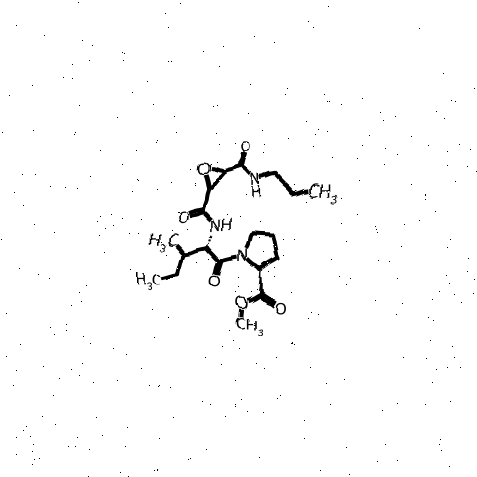 CCCNC(=O)C1OC1C(=O)N[C@H](C(=O)N1CCC[C@H]1C(=O)OC)C(C)CC